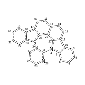 c1ccc(-n2c3ccccc3c3ccc4ccc5c6ccccc6sc5c4c32)nc1